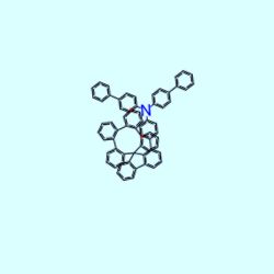 c1ccc(-c2ccc(N(c3ccc(-c4ccccc4)cc3)c3ccc(-c4cccc5c4C4(c6ccccc6-c6ccccc6-c6ccccc6-c6ccccc64)c4ccccc4-5)cc3)cc2)cc1